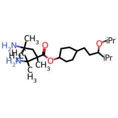 CC(C)OC(CCC1CCC(OC(=O)C(C)(CC(C)(C)N)C(C)(C)N)CC1)C(C)C